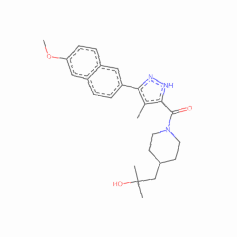 COc1ccc2cc(-c3n[nH]c(C(=O)N4CCC(CC(C)(C)O)CC4)c3C)ccc2c1